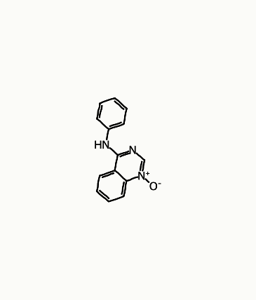 [O-][n+]1cnc(Nc2ccccc2)c2ccccc21